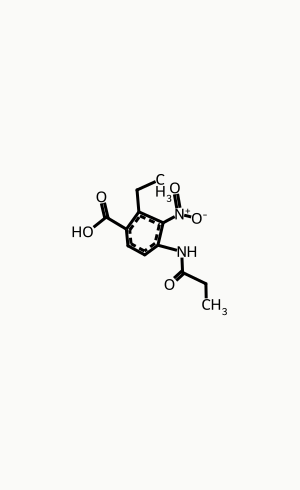 CCC(=O)Nc1ccc(C(=O)O)c(CC)c1[N+](=O)[O-]